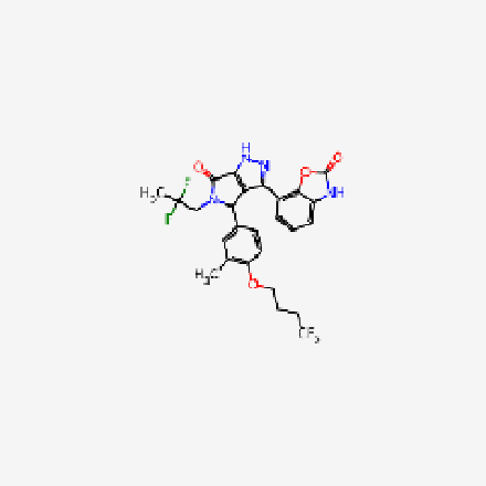 Cc1cc(C2c3c(-c4cccc5[nH]c(=O)oc45)n[nH]c3C(=O)N2CC(C)(F)F)ccc1OCCCC(F)(F)F